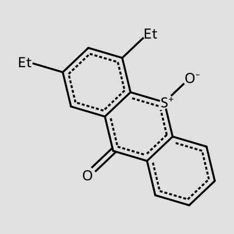 CCc1cc(CC)c2c(c1)c(=O)c1ccccc1[s+]2[O-]